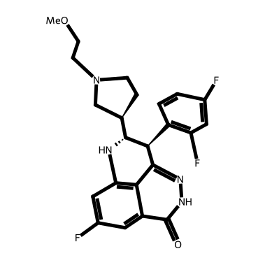 COCCN1CC[C@@H]([C@H]2Nc3cc(F)cc4c(=O)[nH]nc(c34)[C@@H]2c2ccc(F)cc2F)C1